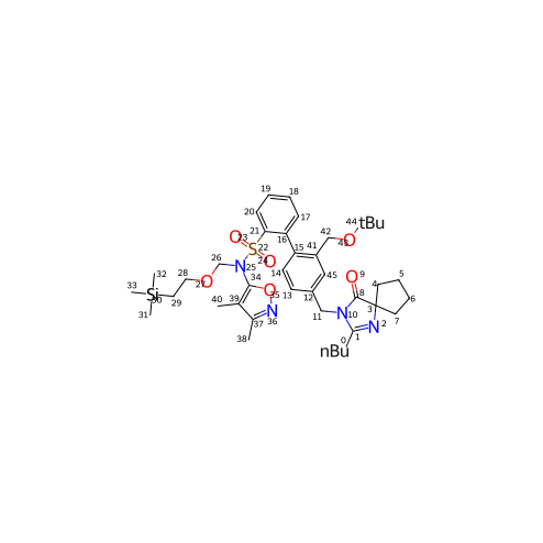 CCCCC1=NC2(CCCC2)C(=O)N1Cc1ccc(-c2ccccc2S(=O)(=O)N(COCC[Si](C)(C)C)c2onc(C)c2C)c(COC(C)(C)C)c1